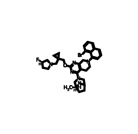 C[C@@]12CCC(CN(c3nc(OCC4(CN5CC[C@@H](F)C5)CC4)nc4c3CCN(c3cccc5cccc(Br)c35)C4)C1)N2